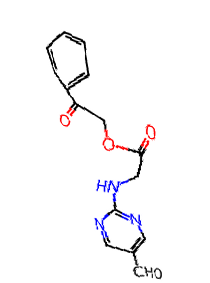 O=Cc1cnc(NCC(=O)OCC(=O)c2ccccc2)nc1